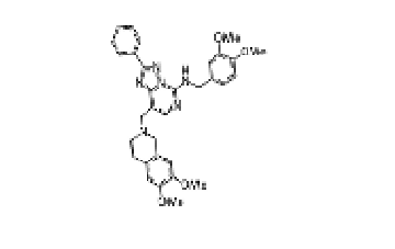 COc1ccc(CNc2ncc(CN3CCc4cc(OC)c(OC)cc4C3)c3nc(-c4ccccc4)nn23)cc1OC